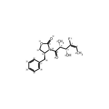 C/C=C(/F)[C@H](O)[C@@H](C)C(=O)N1C(=O)OC[C@@H]1Cc1ccccc1